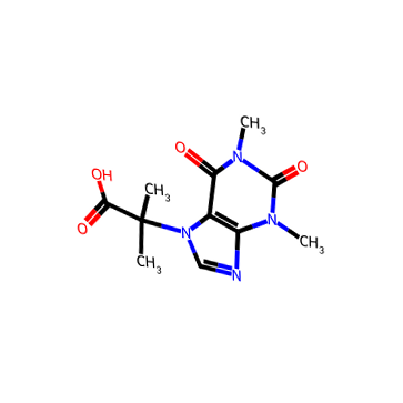 Cn1c(=O)c2c(ncn2C(C)(C)C(=O)O)n(C)c1=O